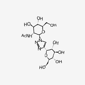 CC(=O)N[C@@H]1[C@@H](O)[C@H](O)[C@@H](CO)O[C@H]1n1cc([C@H]2O[C@H](CO)[C@@H](O)[C@H](O)[C@H]2O)nn1